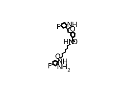 Nc1cc(F)ccc1NC(=O)CCCCCCCNC(=O)c1cccc(/C=C2\C(=O)Nc3ccc(F)cc32)c1